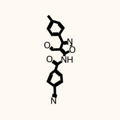 Cc1ccc(-c2noc(NC(=O)c3ccc(C#N)cc3)c2C=O)cc1